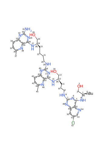 CCCC[C@H](CO)Nc1nc(NCCC[C@H](CO)Nc2nc(NCCCC[C@H](CO)Nc3nc(N)nc4ccc(C)nc34)nc3ccc(C)nc23)nc2cc(Cl)cnc12